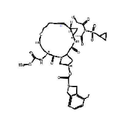 CC(C)(C)OC(=O)N[C@H]1CNCCC/C=C\[C@@H]2C[C@@]2(C(=O)N(C(=O)CCl)S(=O)(=O)C2CC2)NC(=O)C2C[C@@H](OC(=O)N3Cc4cccc(F)c4C3)CN2C1=O